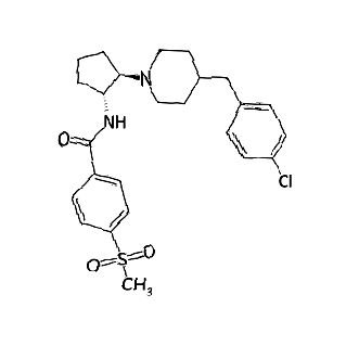 CS(=O)(=O)c1ccc(C(=O)N[C@@H]2CCC[C@H]2N2CCC(Cc3ccc(Cl)cc3)CC2)cc1